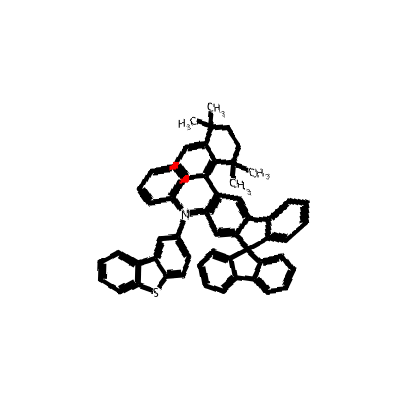 CC1(C)CCC(C)(C)c2c(-c3cc4c(cc3N(c3ccccc3)c3ccc5sc6ccccc6c5c3)C3(c5ccccc5-c5ccccc53)c3ccccc3-4)cccc21